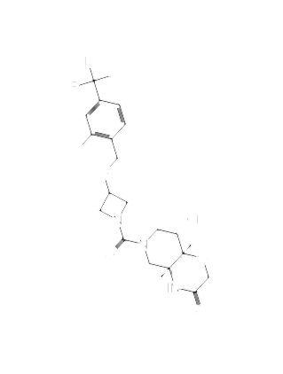 C[C@H]1CN(C(=O)N2CC(OCc3ccc(C(F)(F)F)cc3F)C2)C[C@H]2NC(=O)CO[C@@H]12